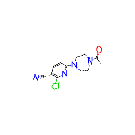 CC(=O)N1CCN(c2ccc(C#N)c(Cl)n2)CC1